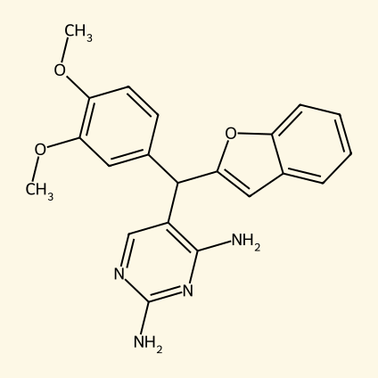 COc1ccc(C(c2cc3ccccc3o2)c2cnc(N)nc2N)cc1OC